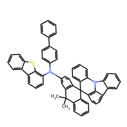 CC1(C)c2ccccc2C2(c3ccccc3-n3c4ccccc4c4cccc2c43)c2ccc(N(c3ccc(-c4ccccc4)cc3)c3cccc4c3sc3ccccc34)cc21